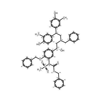 Cc1cc(C(CN(Cc2ccccc2)C[C@H](O)c2ccc(OCc3ccccc3)c(N(C(=O)OCc3ccccc3)S(C)(=O)=O)c2)c2ccc(O)c(C)c2)ccc1O